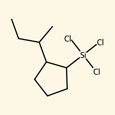 CCC(C)C1CCCC1[Si](Cl)(Cl)Cl